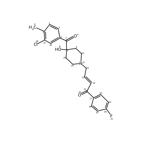 Cc1ccc(C(=O)C2(O)CCN(CC=CC(=O)c3ccc(F)cc3)CC2)cc1Cl